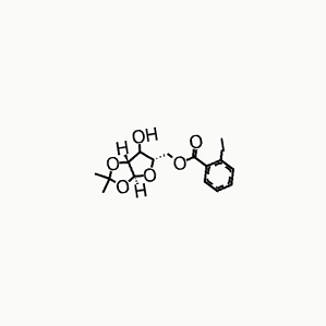 CC1(C)O[C@@H]2O[C@@H](COC(=O)c3ccccc3I)C(O)[C@H]2O1